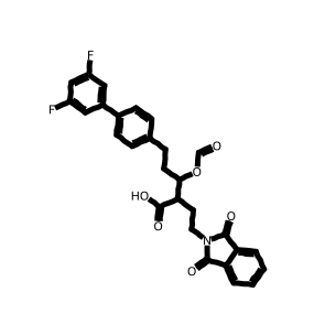 O=COC(CCc1ccc(-c2cc(F)cc(F)c2)cc1)C(CCN1C(=O)c2ccccc2C1=O)C(=O)O